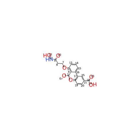 COC(=O)c1c(OCCC(=O)NO)cccc1-c1cccc(C(=O)O)c1